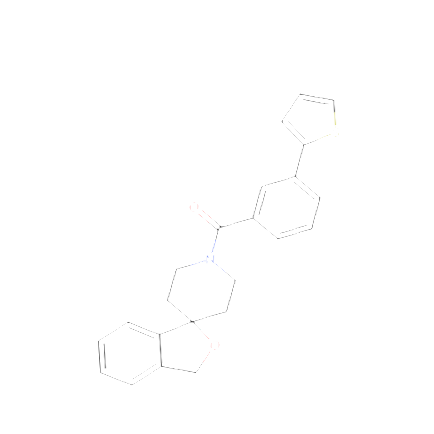 O=C(c1cccc(-c2cccs2)c1)N1CCC2(CC1)OCc1ccccc12